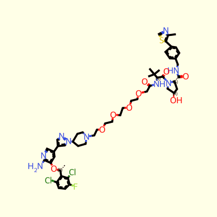 Cc1ncsc1-c1ccc(CNC(=O)[C@@H]2C[C@@H](O)CN2C(=O)[C@@H](NC(=O)COCCOCCOCCOCCN2CCC(n3cc(-c4cnc(N)c(O[C@H](C)c5c(Cl)ccc(F)c5Cl)c4)cn3)CC2)C(C)(C)C)cc1